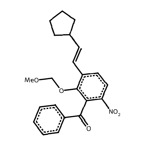 COCOc1c(C=CC2CCCC2)ccc([N+](=O)[O-])c1C(=O)c1ccccc1